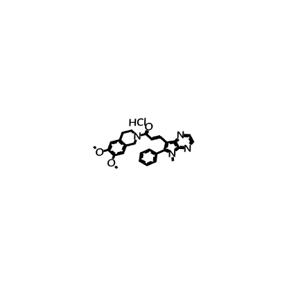 COc1cc2c(cc1OC)CN(C(=O)/C=C/c1c(-c3ccccc3)n(C)c3nccnc13)CC2.Cl